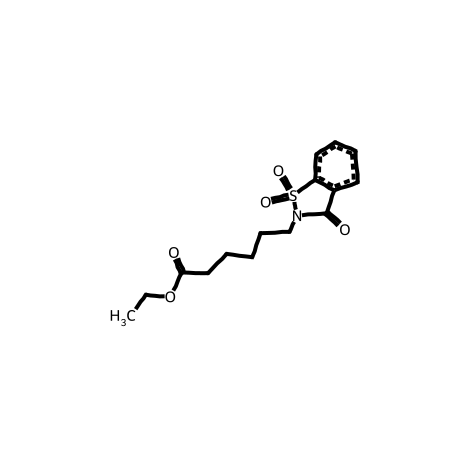 CCOC(=O)CCCCCN1C(=O)c2ccccc2S1(=O)=O